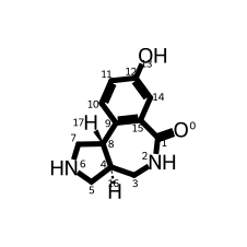 O=C1NC[C@H]2CNC[C@@H]2c2ccc(O)cc21